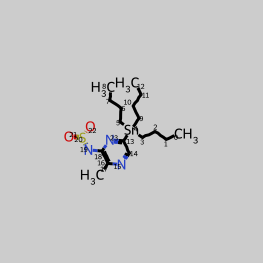 CCC[CH2][Sn]([CH2]CCC)([CH2]CCC)[c]1cnc(C)c(N=S(=O)=O)n1